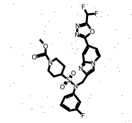 COC(=O)N1CCC(S(=O)(=O)N(Cc2cn3ccc(-c4nnc(C(F)F)o4)cc3n2)c2cccc(F)c2)CC1